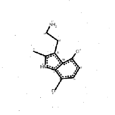 Cc1[nH]c2c(Cl)ccc(Cl)c2c1CCN